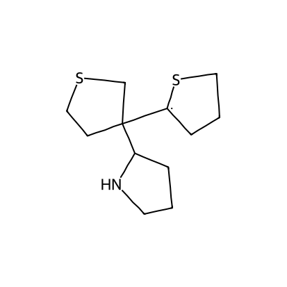 C1CS[C](C2(C3CCCN3)CCSC2)C1